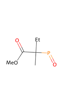 CCC(C)(P=O)C(=O)OC